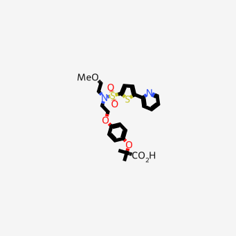 COCCN(CCOc1ccc(OC(C)(C)C(=O)O)cc1)S(=O)(=O)c1ccc(-c2ccccn2)s1